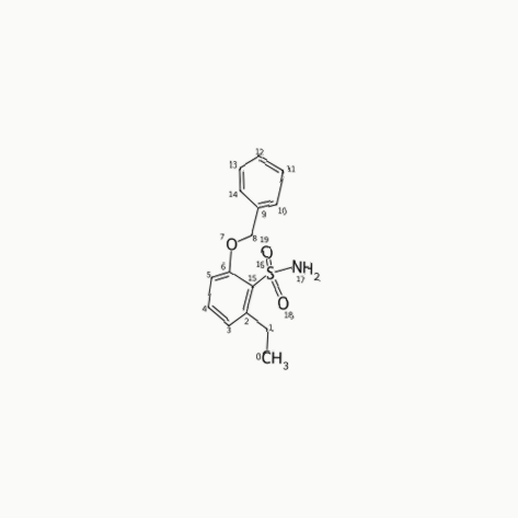 CCc1cccc(OCc2ccccc2)c1S(N)(=O)=O